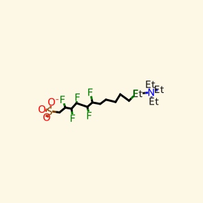 CC[N+](CC)(CC)CC.O=S(=O)([O-])CC(F)C(F)C(F)C(F)C(F)CCCCCF